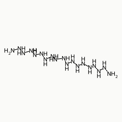 NNNNNNNNNNNNNNNNNNN